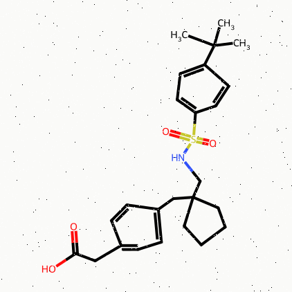 CC(C)(C)c1ccc(S(=O)(=O)NCC2(Cc3ccc(CC(=O)O)cc3)CCCC2)cc1